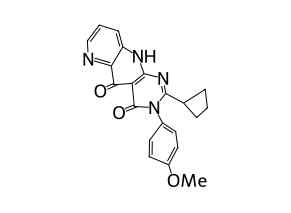 COc1ccc(-n2c(C3CCC3)nc3[nH]c4cccnc4c(=O)c3c2=O)cc1